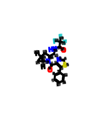 O=C(c1ncsc1-c1ccccc1)N1[C@H](CNC(=O)C(F)(F)F)C[C@H]2C[C@@H]21